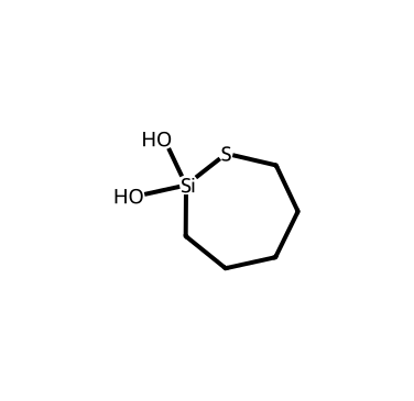 O[Si]1(O)CCCCCS1